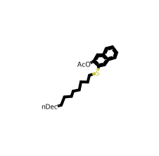 CCCCCCCCCCCCCCCCCCSc1cc2ccccc2cc1OC(C)=O